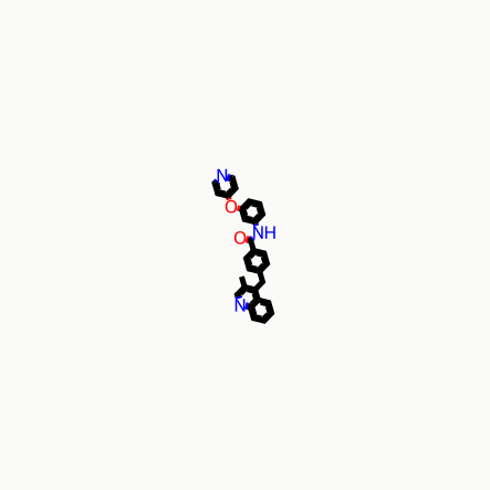 Cc1cnc2ccccc2c1Cc1ccc(C(=O)Nc2cccc(Oc3ccncc3)c2)cc1